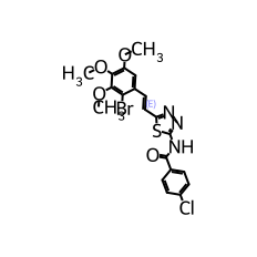 COc1cc(/C=C/c2nnc(NC(=O)c3ccc(Cl)cc3)s2)c(Br)c(OC)c1OC